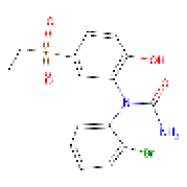 CCS(=O)(=O)c1ccc(O)c(N(C(N)=O)c2ccccc2Br)c1